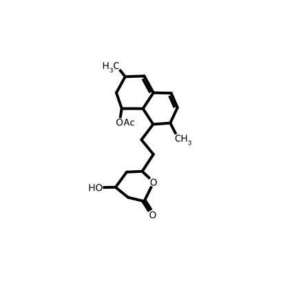 CC(=O)OC1CC(C)C=C2C=CC(C)C(CCC3CC(O)CC(=O)O3)C21